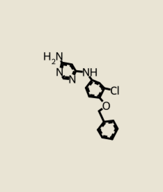 Nc1cc(Nc2ccc(OCc3ccccc3)c(Cl)c2)ncn1